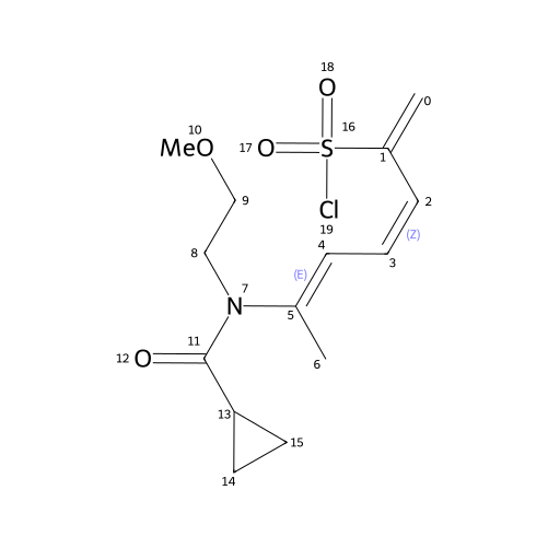 C=C(/C=C\C=C(/C)N(CCOC)C(=O)C1CC1)S(=O)(=O)Cl